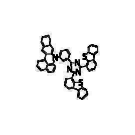 c1cc(-c2nc(-c3cccc4c3sc3ccccc34)nc(-c3cccc4c3sc3ccccc34)n2)cc(N2c3cc4ccccc4cc3-c3cccc4cccc2c34)c1